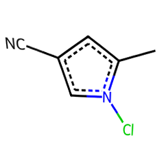 Cc1cc(C#N)cn1Cl